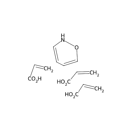 C1=CNOC=C1.C=CC(=O)O.C=CC(=O)O.C=CC(=O)O